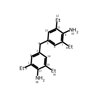 CCc1cc(Cc2cc(CC)c(N)c(CC)c2)cc(CC)c1N